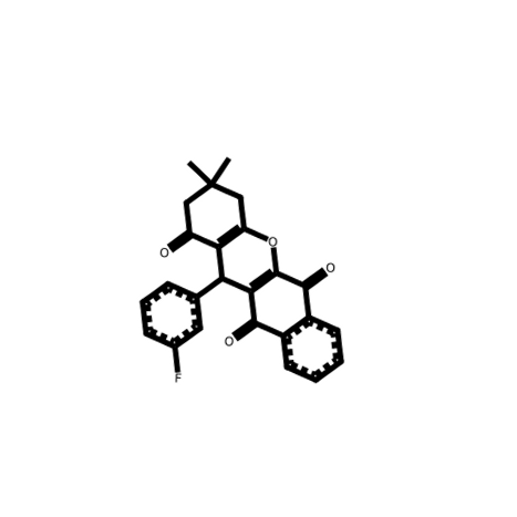 CC1(C)CC(=O)C2=C(C1)OC1=C(C(=O)c3ccccc3C1=O)C2c1cccc(F)c1